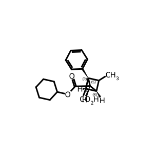 CC1[C@@H]2[C@H](C(=O)O)[C@@]1(c1ccccc1)[C@H]2C(=O)OC1CCCCC1